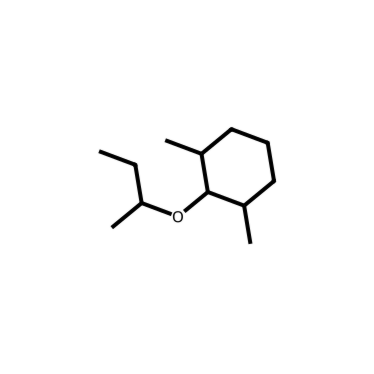 CCC(C)OC1C(C)CCCC1C